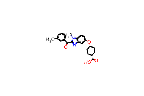 Cc1cccc(C(=O)c2nc3cc(O[C@H]4CC[C@@H](C(=O)O)CC4)ccc3n2C)c1